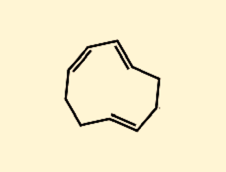 [CH]1/C=C/CC/C=C\C=C\C1